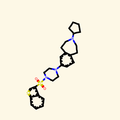 O=S(=O)(c1csc2ccccc12)N1CCN(c2ccc3c(c2)CCN(C2CCCC2)CC3)CC1